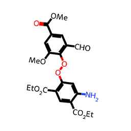 CCOC(=O)c1cc(C(=O)OCC)c(OOc2c(C=O)cc(C(=O)OC)cc2OC)cc1N